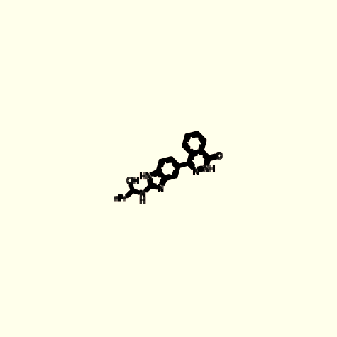 CCCC(O)Nc1nc2cc(-c3n[nH]c(=O)c4ccccc34)ccc2[nH]1